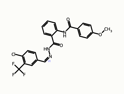 COc1ccc(C(=O)Nc2ccccc2C(=O)N/N=C\c2ccc(Cl)c(C(F)(F)F)c2)cc1